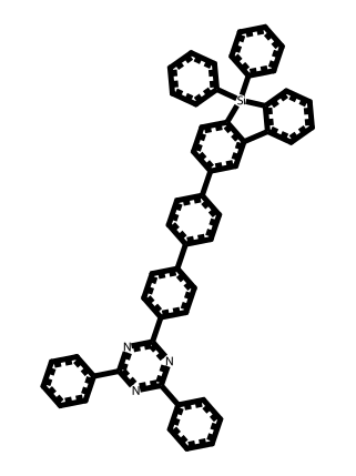 c1ccc(-c2nc(-c3ccccc3)nc(-c3ccc(-c4ccc(-c5ccc6c(c5)-c5ccccc5[Si]6(c5ccccc5)c5ccccc5)cc4)cc3)n2)cc1